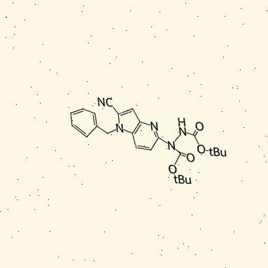 CC(C)(C)OC(=O)NN(C(=O)OC(C)(C)C)c1ccc2c(cc(C#N)n2Cc2ccccc2)n1